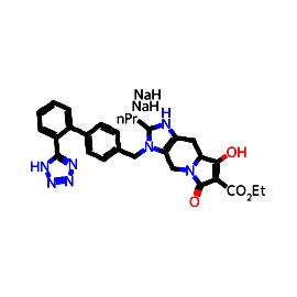 CCCC1NC2=C(CN3C(=O)C(C(=O)OCC)=C(O)C3C2)N1Cc1ccc(-c2ccccc2-c2nnn[nH]2)cc1.[NaH].[NaH]